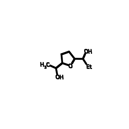 CCC(O)C1CCC(C(C)O)O1